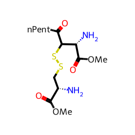 CCCCCC(=O)C(SSC[C@H](N)C(=O)OC)[C@H](N)C(=O)OC